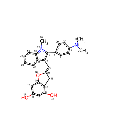 CN(C)c1ccc(-c2c(C=C3Cc4c(O)cc(O)cc4O3)c3ccccc3n2C)cc1